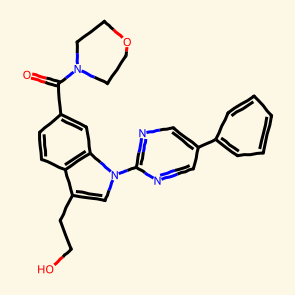 O=C(c1ccc2c(CCO)cn(-c3ncc(-c4ccccc4)cn3)c2c1)N1CCOCC1